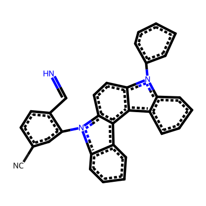 N#Cc1ccc(C=N)c(-n2c3ccccc3c3c4c5ccccc5n(-c5ccccc5)c4ccc32)c1